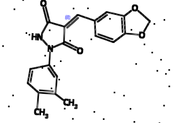 Cc1ccc(N2NC(=O)/C(=C/c3ccc4c(c3)OCO4)C2=O)cc1C